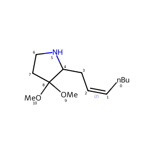 CCCC/C=C\CC1NCCC1(OC)OC